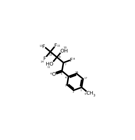 Cc1ccc(C(=O)C(F)C(O)(O)C(F)(F)F)cc1